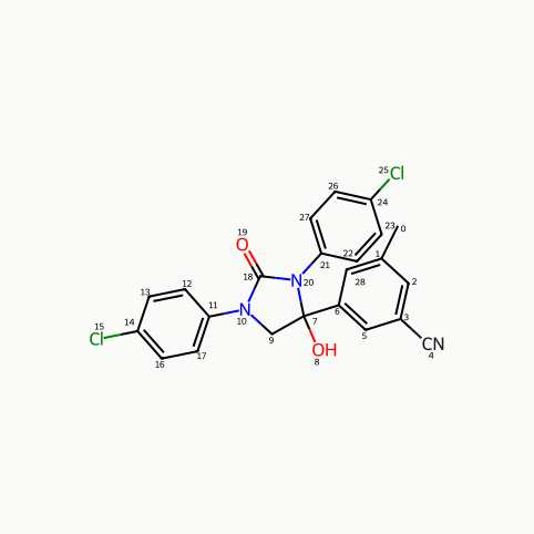 Cc1cc(C#N)cc(C2(O)CN(c3ccc(Cl)cc3)C(=O)N2c2ccc(Cl)cc2)c1